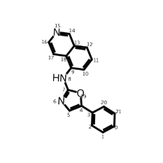 c1ccc(-c2cnc(Nc3cccc4cnccc34)o2)cc1